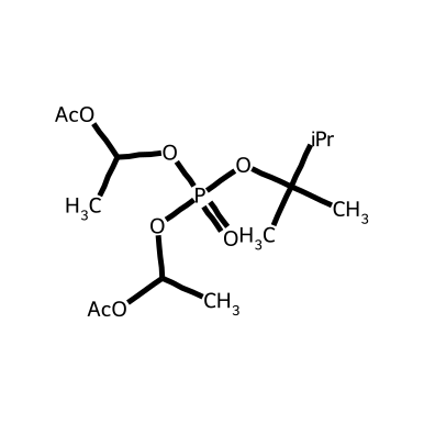 CC(=O)OC(C)OP(=O)(OC(C)OC(C)=O)OC(C)(C)C(C)C